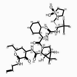 C=CCNC(=O)C(=O)C(CCCC)NC(=O)[C@@H]1[C@@H]2[C@H](CN1C(=O)[C@@H](NC(=O)N[C@H](CN1CCCS1(=O)=O)C(C)(C)C)C1CCCCC1)C2(C)C